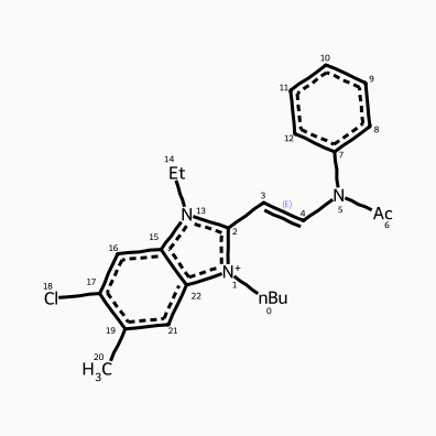 CCCC[n+]1c(/C=C/N(C(C)=O)c2ccccc2)n(CC)c2cc(Cl)c(C)cc21